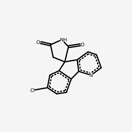 O=C1CC2(C(=O)N1)c1cc(Cl)ccc1-c1ncccc12